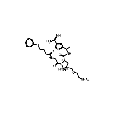 CC(=O)NCCOC[C@@]12C[C@@H]1N(C(=O)CNC(=O)CCCOc1ccccc1)[C@H](C(=O)NC(C)c1cc(C(=N)N)cs1)C2